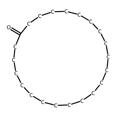 O=C1CCCCCCCCCCCCCCCCCCCCC1